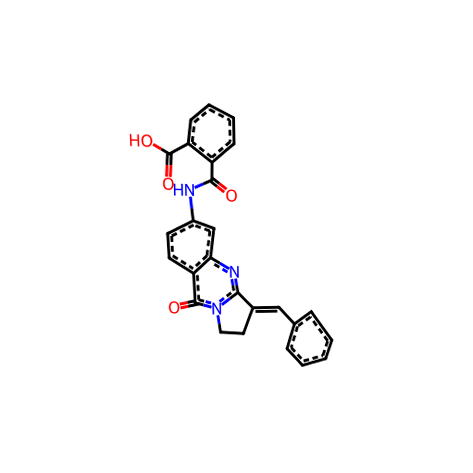 O=C(O)c1ccccc1C(=O)Nc1ccc2c(=O)n3c(nc2c1)/C(=C/c1ccccc1)CC3